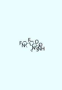 Cc1nc(F)ccc1-c1cc2c(cc1F)c(=O)c1c(=O)[nH]sc1n2C1CC1